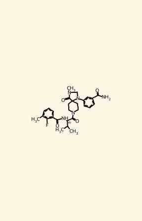 Cc1cccc(C(=O)N[C@@H](C(=O)N2CCC3(CC2)C(=O)N(C)CN3c2cccc(C(N)=O)c2)C(C)C)c1F